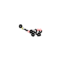 C1=C(OC2CCCCO2)CCC(c2ccc(OCCCCCSc3ccccc3)cc2)C(c2ccccc2)C1Cc1ccccc1